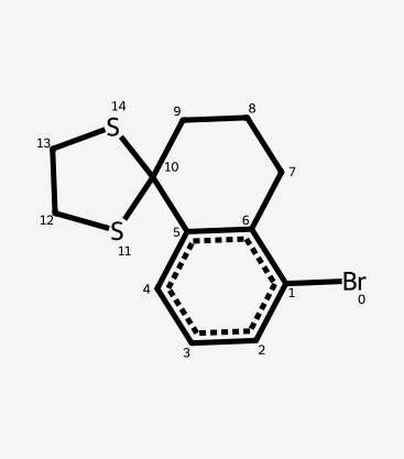 Brc1cccc2c1CCCC21SCCS1